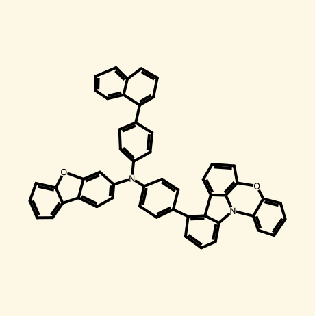 c1ccc2c(c1)Oc1cccc3c4c(-c5ccc(N(c6ccc(-c7cccc8ccccc78)cc6)c6ccc7c(c6)oc6ccccc67)cc5)cccc4n-2c13